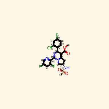 COC(=O)C1=C2C[C@H](NS(C)(=O)=O)CN2C(c2ncc(F)cc2F)=N[C@H]1c1ccc(F)cc1Cl